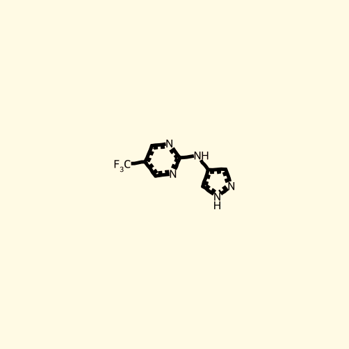 FC(F)(F)c1cnc(Nc2cn[nH]c2)nc1